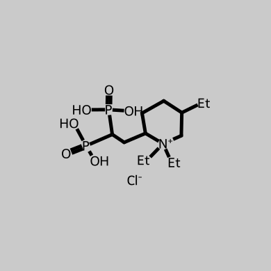 CCC1CCC(CC(P(=O)(O)O)P(=O)(O)O)[N+](CC)(CC)C1.[Cl-]